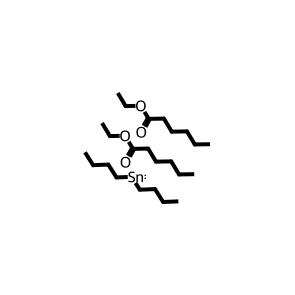 CCCCCC(=O)OCC.CCCCCC(=O)OCC.CCC[CH2][Sn][CH2]CCC